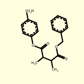 CC(C(=O)OCc1ccccc1)C(C)C(=O)Oc1ccc(S(=O)(=O)O)cc1